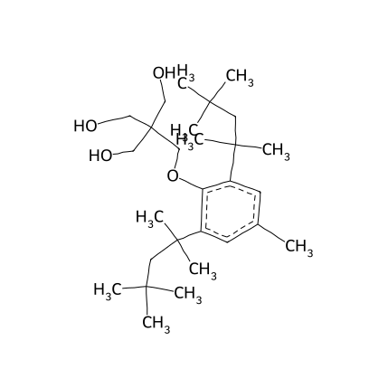 Cc1cc(C(C)(C)CC(C)(C)C)c(OCC(CO)(CO)CO)c(C(C)(C)CC(C)(C)C)c1